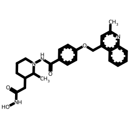 Cc1cc(COc2ccc(C(=O)NN3CCCC(CC(=O)NO)C3C)cc2)c2ccccc2n1